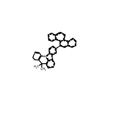 CC1(C)C2=C(C=CCC2)n2c3ccc(-c4cc5ccccc5c5ccc6ccccc6c45)cc3c3cccc1c32